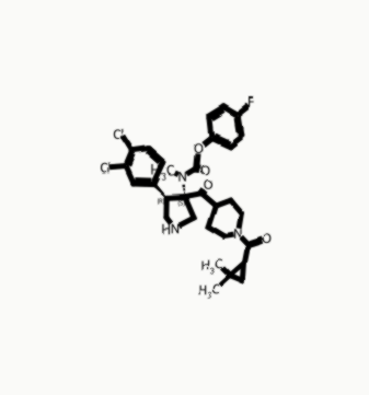 CN(C(=O)Oc1ccc(F)cc1)[C@]1(C(=O)C2CCN(C(=O)C3CC3(C)C)CC2)CNC[C@H]1c1ccc(Cl)c(Cl)c1